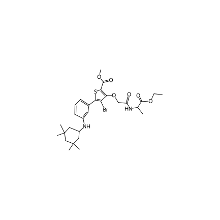 CCOC(=O)C(C)NC(=O)COc1c(C(=O)OC)sc(-c2cccc(NC3CC(C)(C)CC(C)(C)C3)c2)c1Br